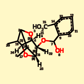 CC1C2O[C@H]3[C@H](OC(O)c4ccccc4C(=O)O)[C@@H]1O[C@H]3C2C